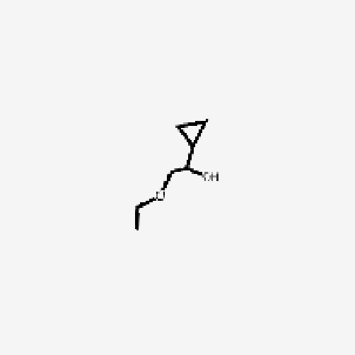 CCOCC(O)C1CC1